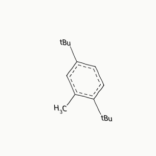 Cc1cc(C(C)(C)C)ccc1C(C)(C)C